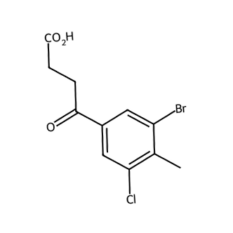 Cc1c(Cl)cc(C(=O)CCC(=O)O)cc1Br